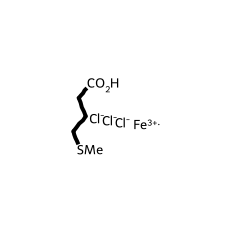 CSCCCC(=O)O.[Cl-].[Cl-].[Cl-].[Fe+3]